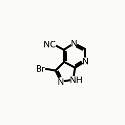 N#Cc1ncnc2[nH]nc(Br)c12